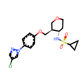 O=S(=O)(N[C@H]1CCOC[C@@H]1COc1ccc(-n2cc(Cl)cn2)cc1)C1CC1